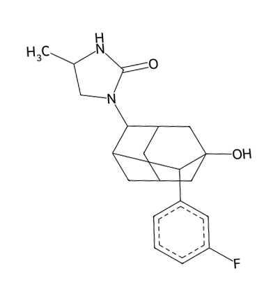 CC1CN(C2C3CC4CC2C(c2cccc(F)c2)C(O)(C4)C3)C(=O)N1